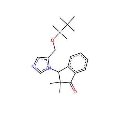 CC1(C)C(=O)c2ccccc2C1n1cncc1CO[Si](C)(C)C(C)(C)C